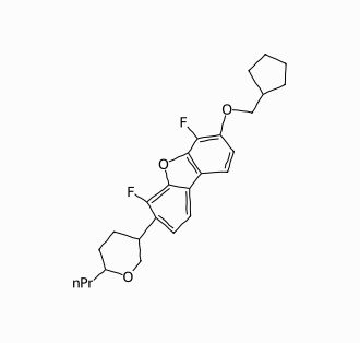 CCCC1CCC(c2ccc3c(oc4c(F)c(OCC5CCCC5)ccc43)c2F)CO1